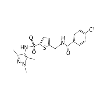 Cc1nn(C)c(C)c1NS(=O)(=O)c1ccc(CNC(=O)c2ccc(Cl)cc2)s1